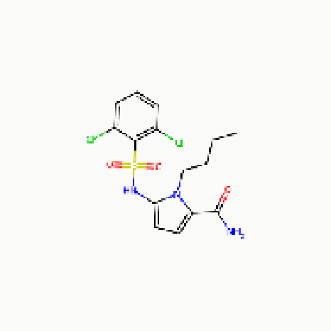 CCCCn1c(NS(=O)(=O)c2c(Cl)cccc2Cl)ccc1C(N)=O